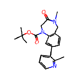 Cc1ncccc1-c1ccc2c(c1)N(C(=O)OC(C)(C)C)CC(=O)N(C)C2